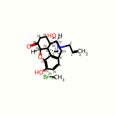 C=CCN1CC[C@]23c4c5ccc(O)c4O[C@H]2C(=O)CC[C@@]3(O)[C@H]1C5.CBr